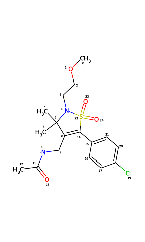 COCCN1C(C)(C)C(C[N]C(C)=O)=C(c2ccc(Cl)cc2)S1(=O)=O